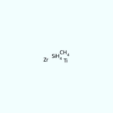 C.[SiH4].[Ti].[Zr]